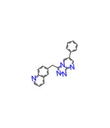 c1ccc(-c2cnc3nnc(Cc4ccc5ncccc5c4)n3c2)cc1